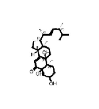 CC(C)[C@@H](C)C=C[C@@H](C)[C@H]1CC[C@H]2C3=CC(=O)C4(O)CC(O)CC[C@]4(C)[C@@]3(O)CC[C@]12C